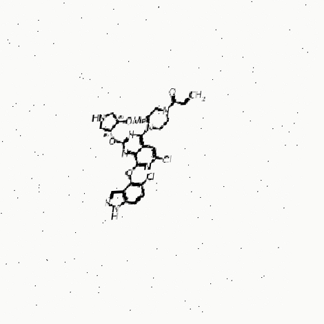 C=CC(=O)N1CCN(c2nc(O[C@@H]3CNC[C@H]3OC)nc3c(Oc4c(Cl)ccc5[nH]ncc45)nc(Cl)cc23)CC1